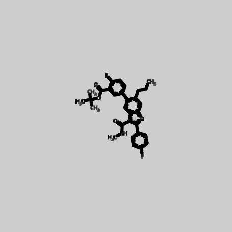 CCCc1cc2oc(-c3ccc(F)cc3)c(C(=O)NC)c2cc1-c1ccc(F)c(C(=O)OC(C)(C)C)c1